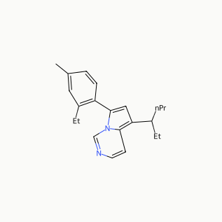 CCCC(CC)c1cc(-c2ccc(C)cc2CC)n2cnccc12